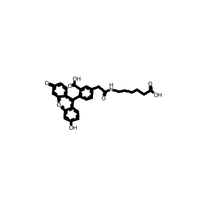 O=C(O)CCCCCNC(=O)Cc1ccc(-c2c3ccc(=O)cc-3oc3cc(O)ccc23)c(C(=O)O)c1